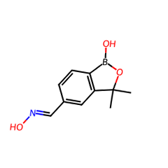 CC1(C)OB(O)c2ccc(/C=N/O)cc21